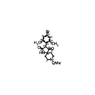 CON1CCC2(CC1)NC(=O)C(c1c(C)cc(Br)cc1C)C2=O